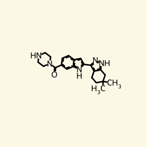 CC1(C)CCc2c(-c3cc4ccc(C(=O)N5CCNCC5)cc4[nH]3)n[nH]c2C1